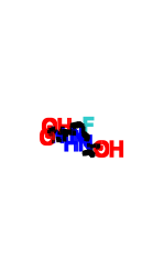 CC(C)[C@H](CO)NCc1nc(C2CCN(C(=O)O)C2)ccc1F